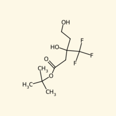 CC(C)(C)OC(=O)CC(O)(CCO)C(F)(F)F